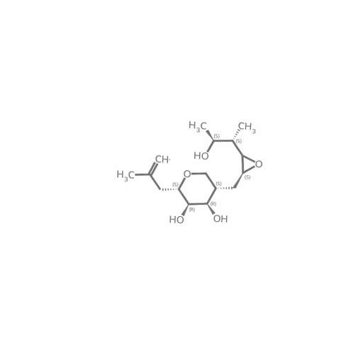 [CH]=C(C)C[C@@H]1OC[C@H](C[C@@H]2OC2[C@@H](C)[C@H](C)O)[C@@H](O)[C@H]1O